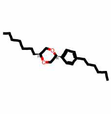 CCCCCCC[C@H]1CO[C@H](c2ccc(CCCCCC)cc2)CO1